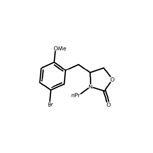 CCCN1C(=O)OCC1Cc1cc(Br)ccc1OC